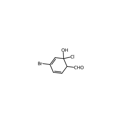 O=CC1C=CC(Br)=CC1(O)Cl